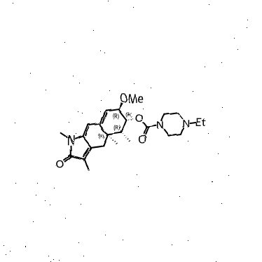 CCN1CCN(C(=O)O[C@H]2[C@H](OC)C=C3C=C4C(=C(C)C(=O)N4C)C[C@]3(C)[C@H]2C)CC1